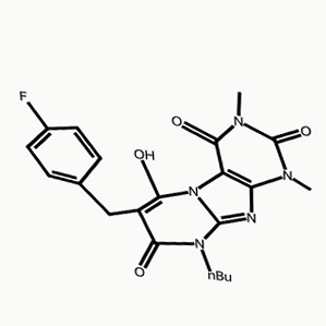 CCCCn1c(=O)c(Cc2ccc(F)cc2)c(O)n2c3c(=O)n(C)c(=O)n(C)c3nc12